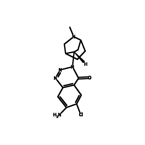 CN1CC2CCC1C[C@@H]2n1nnc2cc(N)c(Cl)cc2c1=O